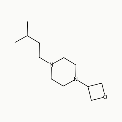 CC(C)CCN1CCN(C2COC2)CC1